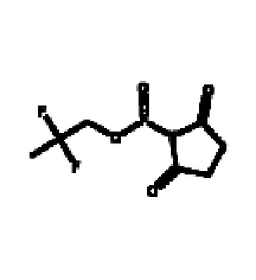 CC(F)(F)CO[PH](=O)N1C(=O)CCC1=O